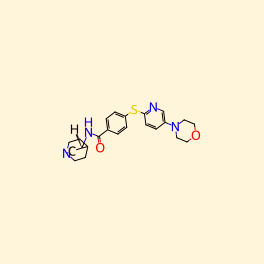 O=C(N[C@H]1CN2CCC1CC2)c1ccc(Sc2ccc(N3CCOCC3)cn2)cc1